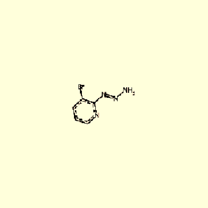 NN=Nc1ncccc1Br